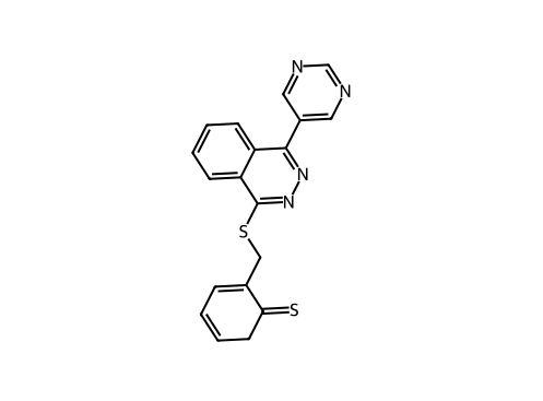 S=C1CC=CC=C1CSc1nnc(-c2cncnc2)c2ccccc12